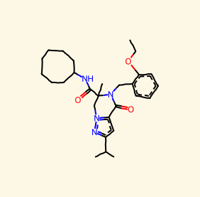 CCOc1ccccc1CN1C(=O)c2cc(C(C)C)nn2CC1(C)C(=O)NC1CCCCCCC1